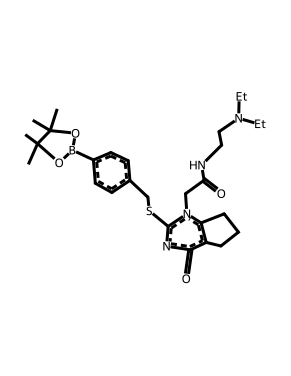 CCN(CC)CCNC(=O)Cn1c(SCc2ccc(B3OC(C)(C)C(C)(C)O3)cc2)nc(=O)c2c1CCC2